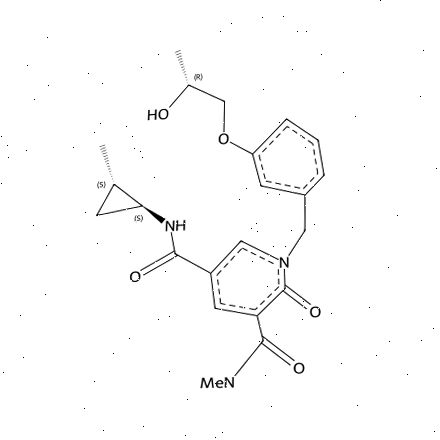 CNC(=O)c1cc(C(=O)N[C@H]2C[C@@H]2C)cn(Cc2cccc(OC[C@@H](C)O)c2)c1=O